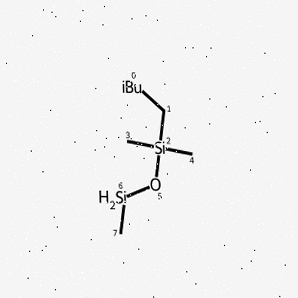 CCC(C)C[Si](C)(C)O[SiH2]C